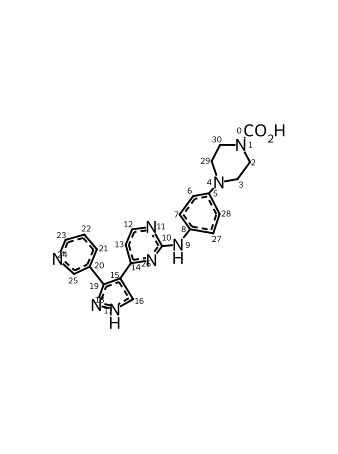 O=C(O)N1CCN(c2ccc(Nc3nccc(-c4c[nH]nc4-c4cccnc4)n3)cc2)CC1